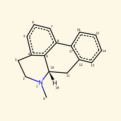 CN1CCc2cccc3c2[C@@H]1Cc1ccccc1-3